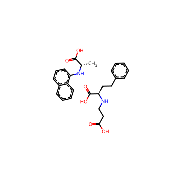 C[C@H](Nc1cccc2ccccc12)C(=O)O.O=C(O)CCN[C@H](CCc1ccccc1)C(=O)O